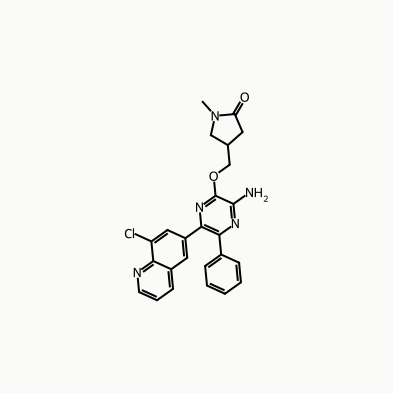 CN1CC(COc2nc(-c3cc(Cl)c4ncccc4c3)c(-c3ccccc3)nc2N)CC1=O